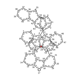 c1ccc(-c2c3ccccc3c(-c3cccc4oc5cccc(-c6c7ccccc7c(-c7ccc8sc9ccccc9c8c7)c7ccccc67)c5c34)c3ccccc23)cc1